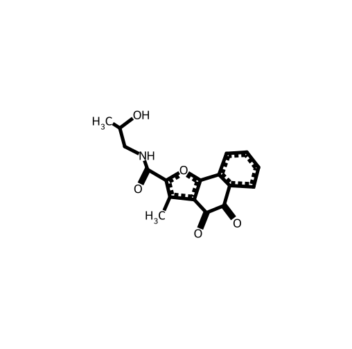 Cc1c(C(=O)NCC(C)O)oc2c1C(=O)C(=O)c1ccccc1-2